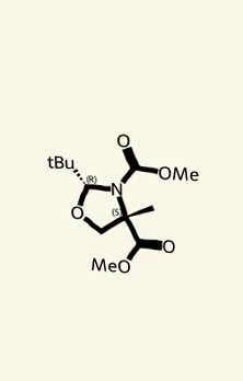 COC(=O)N1[C@@H](C(C)(C)C)OC[C@@]1(C)C(=O)OC